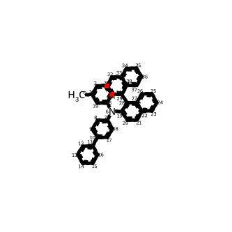 Cc1cccc(N(c2ccc(-c3ccccc3)cc2)c2ccc3ccccc3c2-c2cccc3ccccc23)c1